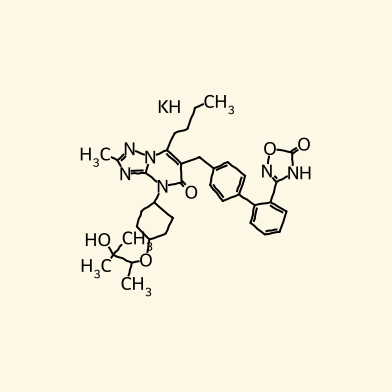 CCCCc1c(Cc2ccc(-c3ccccc3-c3noc(=O)[nH]3)cc2)c(=O)n(C2CCC(OC(C)C(C)(C)O)CC2)c2nc(C)nn12.[KH]